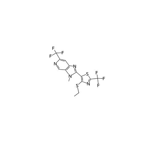 CCSc1nc(C(F)(F)F)sc1-c1nc2cc(C(F)(F)F)ncc2n1C